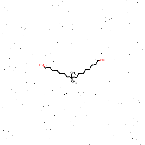 CC(C)(CCCCCCCO)CCCCCCCCO